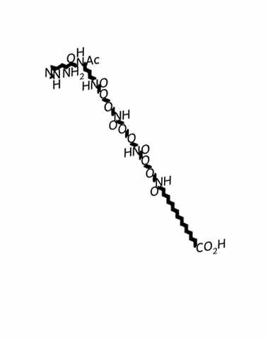 CC(=O)[C@H](CCCCNC(=O)COCCOCCNC(=O)COCCOCCNC(=O)COCCOCCNC(=O)CCCCCCCCCCCCCCCCC(=O)O)NCC(=O)[C@@H](N)Cc1cnc[nH]1